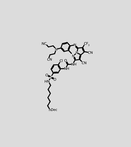 CCCCCCCCCCCCCCCCNS(=O)(=O)c1ccc(Cl)c(NC(=O)Nc2nn3c(c2C#N)C(C#N)=C(C(F)(F)F)C3=Nc2ccc(N(CCC#N)CCC#N)cc2C)c1